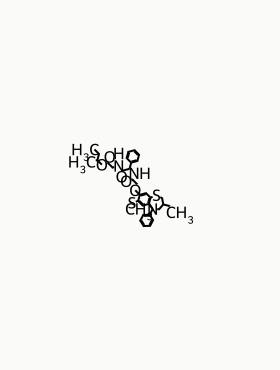 CCC1CSc2cc(OCC(=O)NC(C(=O)NCC(=O)OC(C)CC)c3ccccc3)c(SC)cc2N(c2ccccc2)C1